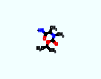 CC(C)OC(=O)N(C)C(C)C([NH])=O